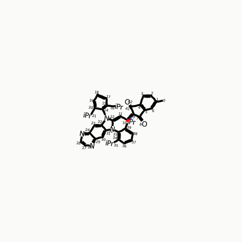 Cc1ccc2c(c1)C(=O)/C(=C/C=C1N(c3c(C(C)C)cccc3C(C)C)c3cc4nccnc4cc3N1c1c(C(C)C)cccc1C(C)C)C2=O